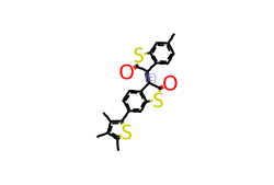 Cc1ccc2c(c1)SC(=O)/C2=C1/C(=O)Sc2cc(-c3sc(C)c(C)c3C)ccc21